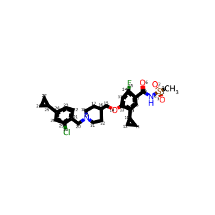 CS(=O)(=O)NC(=O)c1cc(C2CC2)c(OCC2CCN(Cc3ccc(C4CC4)cc3Cl)CC2)cc1F